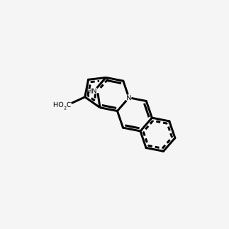 O=C(O)c1cc2[nH]c1=C1C=c3ccccc3=CN1C=2